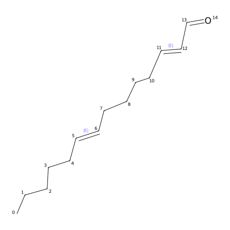 CCCCC/C=C/CCCC/C=C/C=O